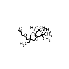 CCC1(COCC2CO2)COC2(CC(C)(C)N(C)C(C)(C)C2)OC1